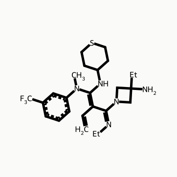 C=CC(/C(=N\CC)N1CC(N)(CC)C1)=C(/NC1CCSCC1)N(C)c1cccc(C(F)(F)F)c1